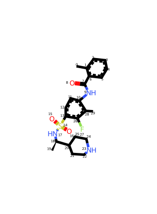 Cc1ccccc1C(=O)Nc1ccc(S(=O)(=O)N[C@H](C)C2CCNCC2)c(F)c1C